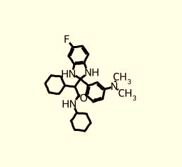 CN(C)c1cccc(C2(C(C(=O)NC3CCCCC3)C3CCCCC3)Nc3ccc(F)cc3N2)c1